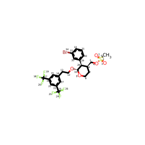 CS(=O)(=O)OC[C@H]1CCO[C@H](OCCc2cc(C(F)(F)F)cc(C(F)(F)F)c2)[C@H]1c1cccc(Br)c1